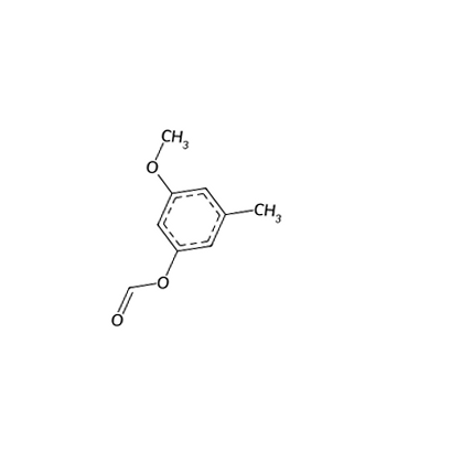 COc1cc(C)cc(OC=O)c1